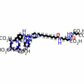 O=C(O)CC[C@H](NC(=O)N[C@@H](CCCCNC(=O)CCCCCCCCCCN1CCN(c2nc(Nc3ccc(CC4CN(CC(=O)O)CCN(CC(=O)O)CCN(CC(=O)O)CCN4CC(=O)O)cc3)nc(N3CCN(CC(=O)O)CC3)n2)CC1)C(=O)O)C(=O)O